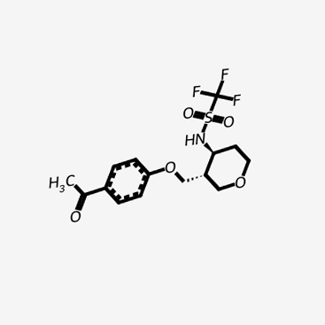 CC(=O)c1ccc(OC[C@H]2COCC[C@@H]2NS(=O)(=O)C(F)(F)F)cc1